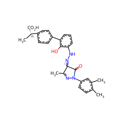 CC1=NN(c2ccc(C)c(C)c2)C(=O)/C1=N\Nc1cccc(-c2ccc([C@H](C)C(=O)O)cc2)c1O